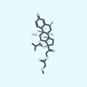 COCC(=O)OCC(=O)[C@@]1(OC(=O)C(C)C)CC[C@H]2[C@@H]3C[C@H](C)C4=CC(=O)C=C[C@]4(C)[C@H]3[C@@H](O)C[C@@]21C